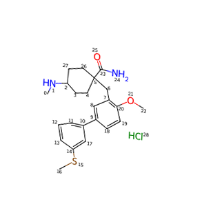 CNC1CCC(Cc2cc(-c3cccc(SC)c3)ccc2OC)(C(N)=O)CC1.Cl